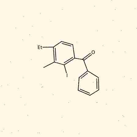 CCc1ccc(C(=O)c2ccccc2)c(I)c1C